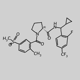 Cc1ccc(S(C)(=O)=O)cc1C(=O)N1CCC[C@@H]1C(=O)NC(c1ccc(C(F)(F)F)cc1F)C1CC1